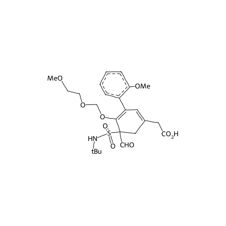 COCCOCOC1=C(c2ccccc2OC)C=C(CC(=O)O)CC1(C=O)S(=O)(=O)NC(C)(C)C